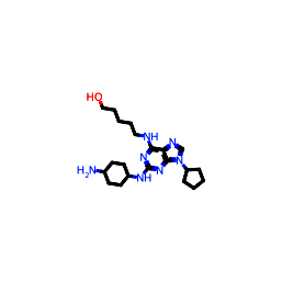 NC1CCC(Nc2nc(NCCCCCO)c3ncn(C4CCCC4)c3n2)CC1